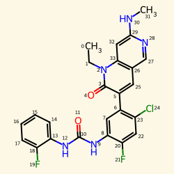 CCn1c(=O)c(-c2cc(NC(=O)Nc3ccccc3F)c(F)cc2Cl)cc2cnc(NC)cc21